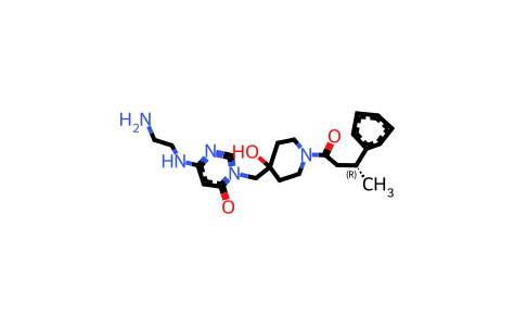 C[C@H](CC(=O)N1CCC(O)(Cn2cnc(NCCN)cc2=O)CC1)c1ccccc1